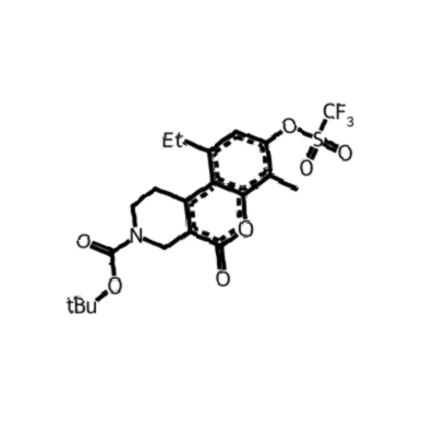 CCc1cc(OS(=O)(=O)C(F)(F)F)c(C)c2oc(=O)c3c(c12)CCN(C(=O)OC(C)(C)C)C3